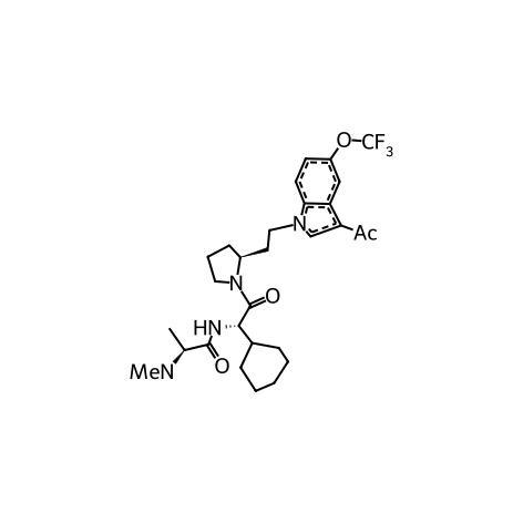 CN[C@@H](C)C(=O)N[C@H](C(=O)N1CCC[C@H]1CCn1cc(C(C)=O)c2cc(OC(F)(F)F)ccc21)C1CCCCC1